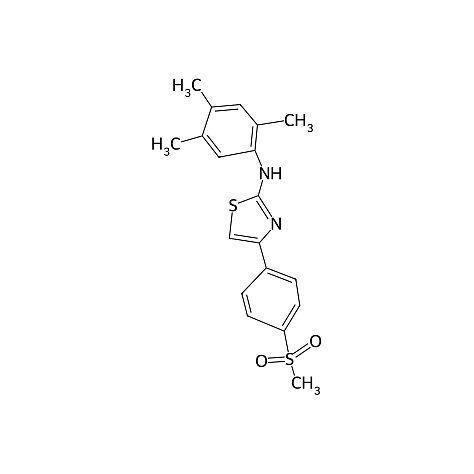 Cc1cc(C)c(Nc2nc(-c3ccc(S(C)(=O)=O)cc3)cs2)cc1C